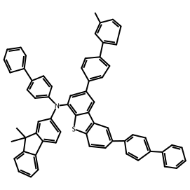 Cc1cccc(-c2ccc(-c3cc(N(c4ccc(-c5ccccc5)cc4)c4ccc5c(c4)C(C)(C)c4ccccc4-5)c4sc5ccc(-c6ccc(-c7ccccc7)cc6)cc5c4c3)cc2)c1